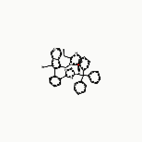 CCc1nccc(=O)n1Cc1c2ccocc-2c(Br)c1-c1ccccc1-c1nnn(C(c2ccccc2)(c2ccccc2)c2ccccc2)n1